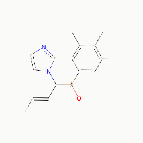 C/C=C/C(n1ccnc1)[S+]([O-])c1cc(C)c(C)c(C)c1